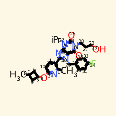 Cc1nc(OC2CC(C)C2)ccc1-c1nc2c(c(=O)n(CCCO)c(=O)n2C(C)C)n1Cc1ccc(F)cc1